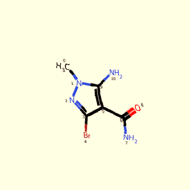 Cn1nc(Br)c(C(N)=O)c1N